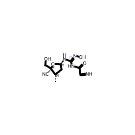 C[C@H]1C[C@H](N/C(=N/O)NC(=O)C=N)O[C@]1(C#N)CO